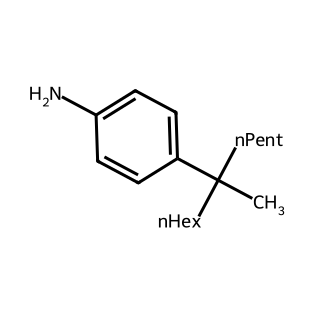 CCCCCCC(C)(CCCCC)c1ccc(N)cc1